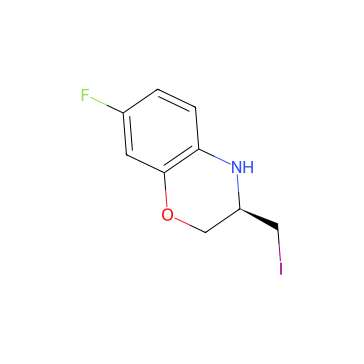 Fc1ccc2c(c1)OC[C@H](CI)N2